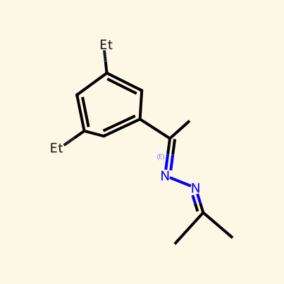 CCc1cc(CC)cc(/C(C)=N/N=C(C)C)c1